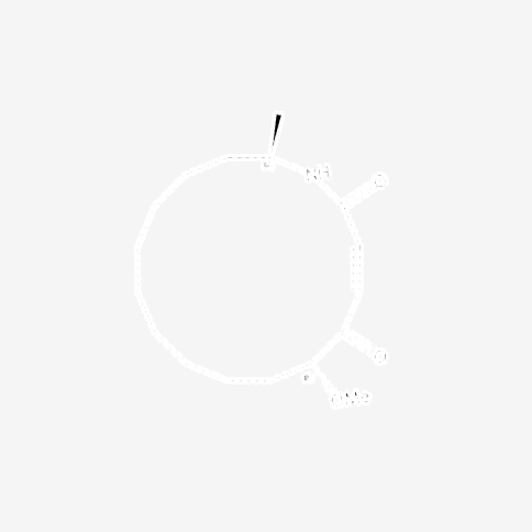 CO[C@@H]1CCCCCCCCC[C@@H](C)NC(=O)C=CC1=O